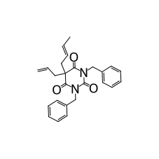 C=CCC1(CC=CC)C(=O)N(Cc2ccccc2)C(=O)N(Cc2ccccc2)C1=O